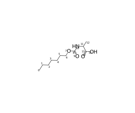 CCCCCCCOC(=O)NC(C)C(=O)O